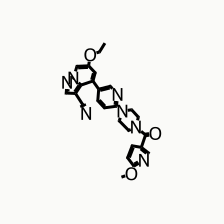 CCOc1cc(-c2ccc(N3CCN(C(=O)c4ccc(OC)nc4)CC3)nc2)c2c(C#N)cnn2c1